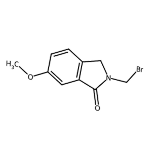 COc1ccc2c(c1)C(=O)N(CBr)C2